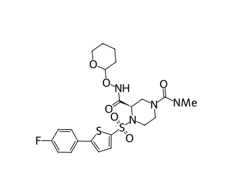 CNC(=O)N1CCN(S(=O)(=O)c2ccc(-c3ccc(F)cc3)s2)[C@@H](C(=O)NOC2CCCCO2)C1